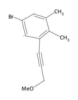 COCC#Cc1[c]c(Br)cc(C)c1C